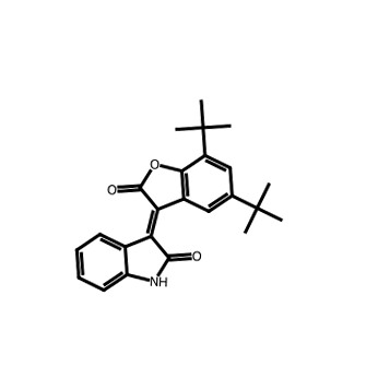 CC(C)(C)c1cc2c(c(C(C)(C)C)c1)OC(=O)C2=C1C(=O)Nc2ccccc21